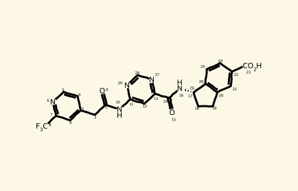 O=C(Cc1ccnc(C(F)(F)F)c1)Nc1cc(C(=O)N[C@H]2CCc3cc(C(=O)O)ccc32)ncn1